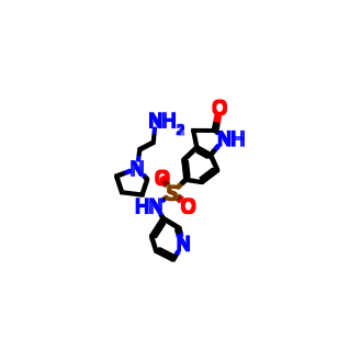 NCCN1CCCC1.O=C1Cc2cc(S(=O)(=O)Nc3cccnc3)ccc2N1